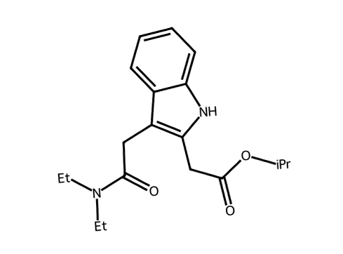 CCN(CC)C(=O)Cc1c(CC(=O)OC(C)C)[nH]c2ccccc12